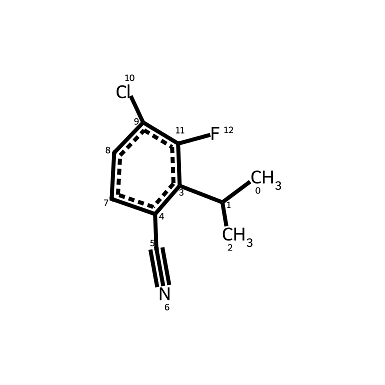 CC(C)c1c(C#N)ccc(Cl)c1F